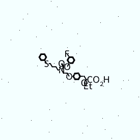 CCOC(Cc1ccc(OCCN(CCCCSc2ccccc2)C(=O)Oc2cccc(F)c2)cc1)C(=O)O